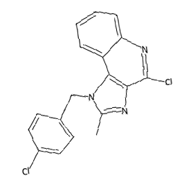 Cc1nc2c(Cl)nc3ccccc3c2n1Cc1ccc(Cl)cc1